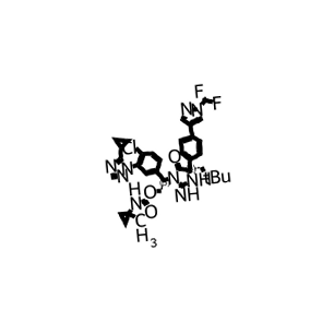 CC(C)(C)C[C@]1(c2ccc(-c3cnn(C(F)F)c3)cc2)NC(=N)N([C@H](COC(=O)NC2(C)CC2)c2ccc(Cl)c(-n3ncnc3C3CC3)c2)C1=O